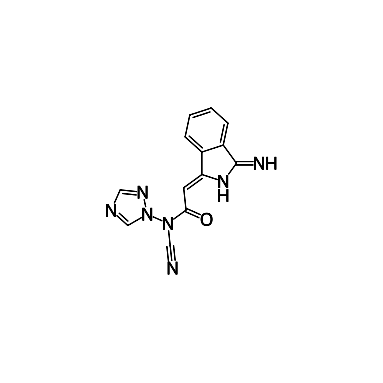 N#CN(C(=O)C=C1NC(=N)c2ccccc21)n1cncn1